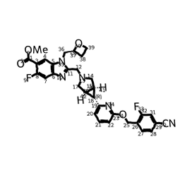 COC(=O)c1cc2c(cc1F)nc(CN1C[C@@H]3[C@H](C1)[C@H]3c1cccc(OCc3ccc(C#N)cc3F)n1)n2C[C@@H]1CCO1